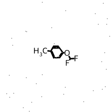 Cc1c#cc(OC(F)F)cc1